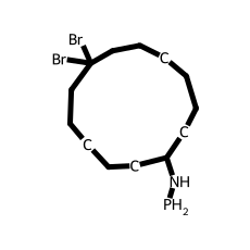 PNC1CCCCCCC(Br)(Br)CCCCC1